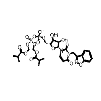 CC(C)C(=O)OCOP(=O)(OCOC(=O)C(C)C)OP(=O)(O)OC[C@H]1O[C@@H](n2ccc(=O)n(Cc3noc4ccccc34)c2=O)C(O)C1O